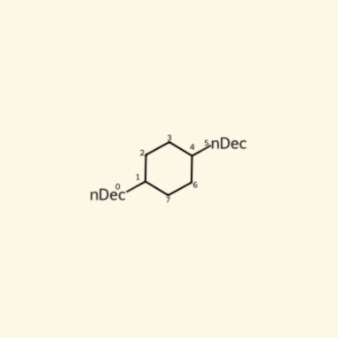 CCCCCCCCCCC1CCC(CCCCCCCCCC)CC1